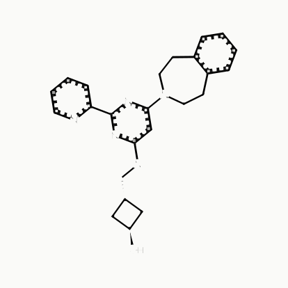 O[C@H]1C[C@H](CNc2cc(N3CCc4ccccc4CC3)nc(-c3ccccn3)n2)C1